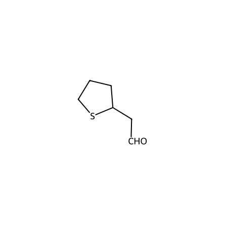 O=CCC1CCCS1